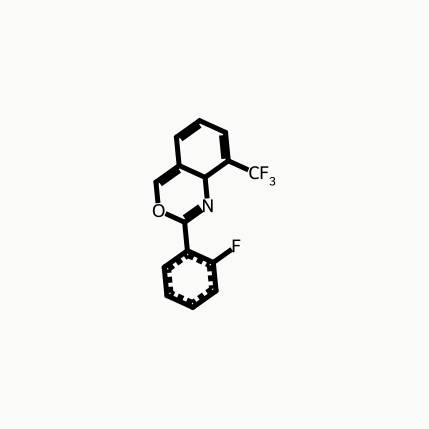 Fc1ccccc1C1=NC2C(=CO1)C=CC=C2C(F)(F)F